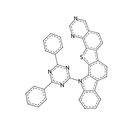 c1ccc(-c2nc(-c3ccccc3)nc(-n3c4ccccc4c4ccc5c6ccc7cncnc7c6sc5c43)n2)cc1